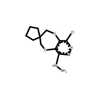 NNc1nnc(Cl)c2c1OCC1(CCCC1)CO2